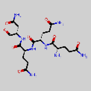 NC(=O)CC[C@H](NC(=O)[C@H](CCC(N)=O)NC(=O)[C@@H](N)CCC(N)=O)C(=O)N[C@H]([C]=O)CC(N)=O